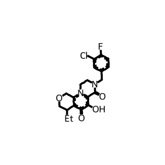 CCC1COCc2c1c(=O)c(O)c1n2CCN(Cc2ccc(F)c(Cl)c2)C1=O